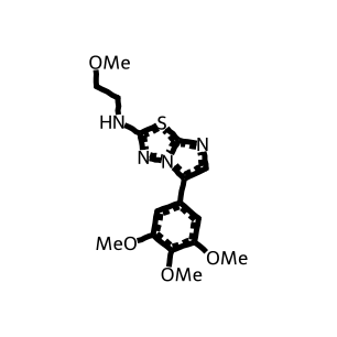 COCCNc1nn2c(-c3cc(OC)c(OC)c(OC)c3)cnc2s1